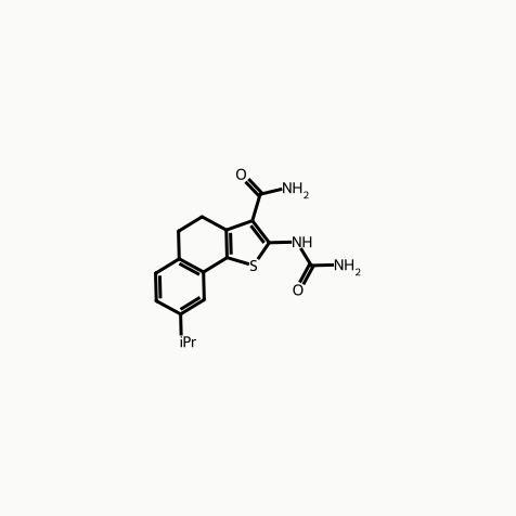 CC(C)c1ccc2c(c1)-c1sc(NC(N)=O)c(C(N)=O)c1CC2